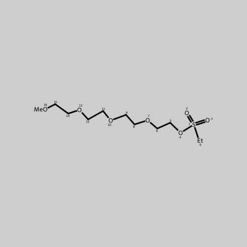 CCS(=O)(=O)OCCOCCOCCOCCOC